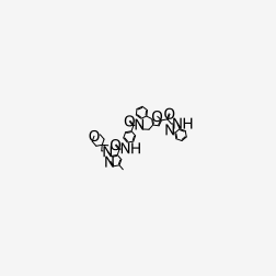 Cc1cnc(N2CC3(CCOCC3)C2)c(C(=O)Nc2ccc(C(=O)N3CCc4cc(C(=O)c5nc6ccccc6[nH]5)oc4-c4ccccc43)cc2)c1